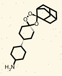 NC1CCC([C@H]2CC[C@]3(CC2)OO[C@]2(O3)C3CC4CC(C3)CC2C4)CC1